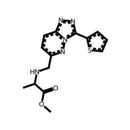 COC(=O)C(C)NCc1ccc2nnc(-c3cccs3)n2n1